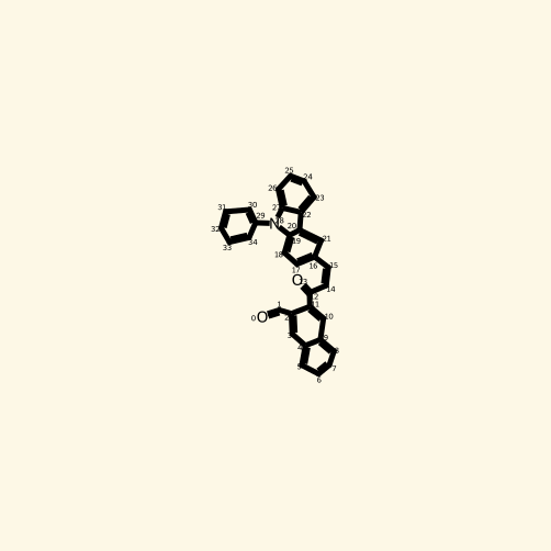 O=Cc1cc2ccccc2cc1C(=O)/C=C\c1ccc2c(c1)c1ccccc1n2-c1ccccc1